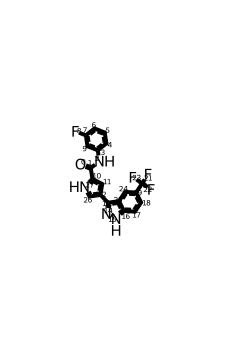 O=C(Nc1cccc(F)c1)c1cc(-c2n[nH]c3ccc(C(F)(F)F)cc23)c[nH]1